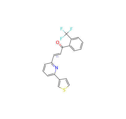 O=C(/C=C/c1cccc(-c2ccsc2)n1)c1ccccc1C(F)(F)F